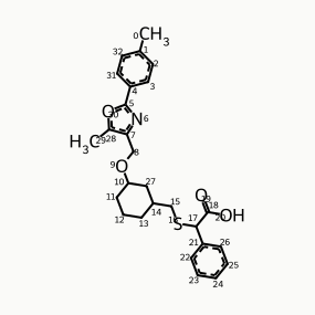 Cc1ccc(-c2nc(COC3CCCC(CSC(C(=O)O)c4ccccc4)C3)c(C)o2)cc1